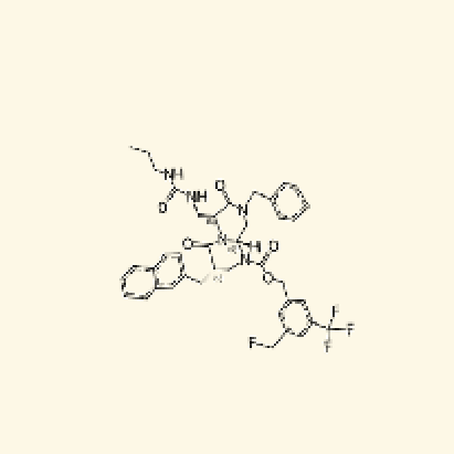 CCCNC(=O)NC[C@H]1C(=O)N(Cc2ccccc2)C[C@@H]2N(C(=O)OCc3cc(CF)cc(C(F)(F)F)c3)C[C@H](Cc3ccc4ccccc4c3)C(=O)N21